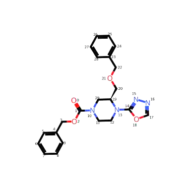 O=C(OCc1ccccc1)N1CCN(c2nnco2)[C@H](COCc2ccccc2)C1